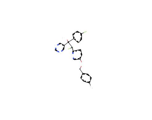 O=[N+]([O-])c1ccc(COc2ccc(C(F)(F)C(O)(c3cncnc3)c3ccc(F)cc3F)nc2)cc1